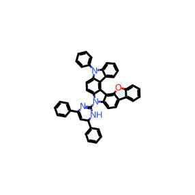 C1=C(c2ccccc2)N=C(n2c3ccc4c5ccccc5oc4c3c3c4c5ccccc5n(-c5ccccc5)c4ccc32)NC1c1ccccc1